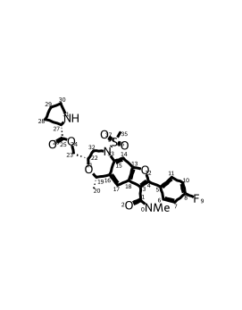 CNC(=O)c1c(-c2ccc(F)cc2)oc2cc3c(cc12)[C@H](C)O[C@H](COC(=O)[C@@H]1CCCN1)CN3S(C)(=O)=O